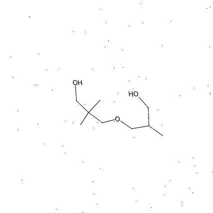 CC(CO)COCC(C)(C)CO